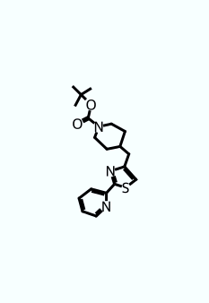 CC(C)(C)OC(=O)N1CCC(Cc2csc(-c3ccccn3)n2)CC1